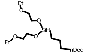 CCCCCCCCCCCCCC[SiH](OCCOCC)OCCOCC